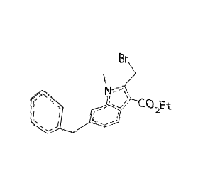 CCOC(=O)c1c(CBr)n(C)c2cc(Cc3ccccc3)ccc12